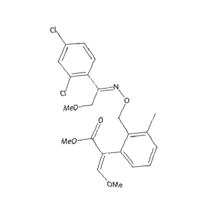 CO/C=C(/C(=O)OC)c1cccc(C)c1CO/N=C(\COC)c1ccc(Cl)cc1Cl